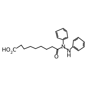 O=C(O)CCCCCCCC(=O)N(Nc1ccccc1)c1ccccc1